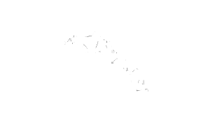 CS(=O)(=O)NCC(=O)NCC(=O)Nc1nc2ccc(OC(F)(F)F)cc2s1